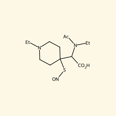 CCN1CCC(SN=O)(C(C(=O)O)N(CC)C(C)=O)CC1